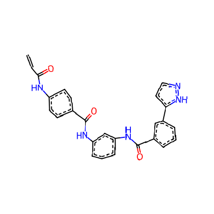 C=CC(=O)Nc1ccc(C(=O)Nc2cccc(NC(=O)c3cccc(-c4ccn[nH]4)c3)c2)cc1